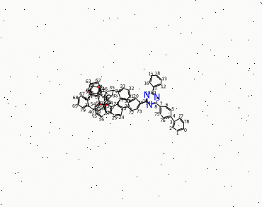 c1ccc(-c2ccc(-c3nc(-c4ccccc4)nc(-c4ccc(-c5cccc6c5-c5ccccc5C5CC67CCC6CCCC8CC5(c5ccccc5-c5ccccc58)C7c5ccccc5-c5ccccc56)cc4)n3)cc2)cc1